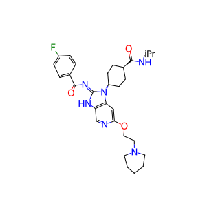 CC(C)NC(=O)[C@H]1CC[C@@H](n2/c(=N/C(=O)c3ccc(F)cc3)[nH]c3cnc(OCCN4CCCCC4)cc32)CC1